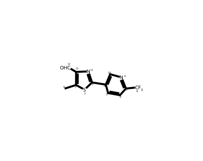 Cc1sc(-c2ccc(C(F)(F)F)nc2)nc1C=O